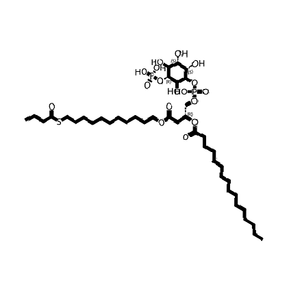 CCCCCCCCCCCCCCCC(=O)O[C@@H](COP(=O)(O)OC1C(O)[C@H](OP(=O)(O)O)C(O)[C@H](O)[C@@H]1O)CC(=O)OCCCCCCCCCCCSC(=O)CCC